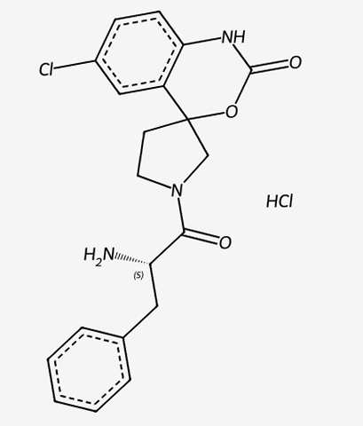 Cl.N[C@@H](Cc1ccccc1)C(=O)N1CCC2(C1)OC(=O)Nc1ccc(Cl)cc12